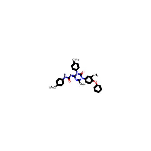 COc1ccc(NC(=O)/N=c2\nc(SC)n(-c3ccc(Oc4ccccc4)c(C)c3)c(=O)n2-c2ccc(OC)cc2)cc1